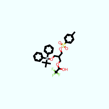 Cc1ccc(S(=O)(=O)OCC(COC(O)C(F)(F)F)CO[Si](c2ccccc2)(c2ccccc2)C(C)(C)C)cc1